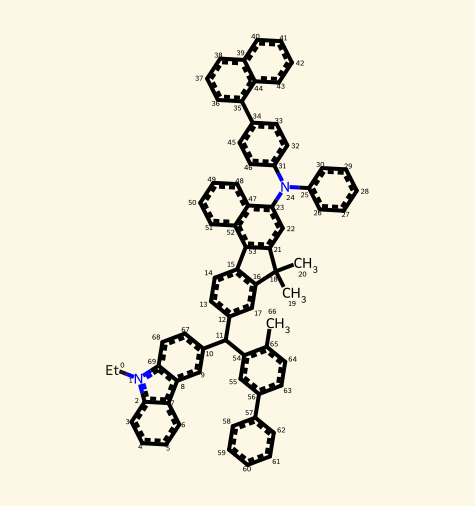 CCn1c2ccccc2c2cc(C(c3ccc4c(c3)C(C)(C)c3cc(N(c5ccccc5)c5ccc(-c6cccc7ccccc67)cc5)c5ccccc5c3-4)c3cc(-c4ccccc4)ccc3C)ccc21